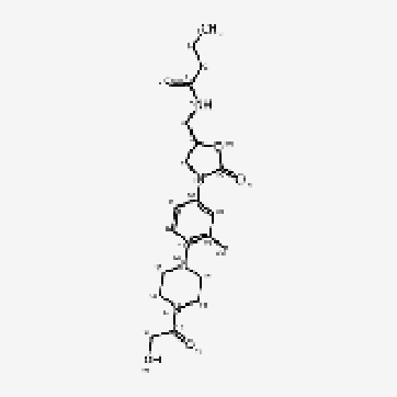 CCCC(=S)NCC1CN(c2ccc(N3CCN(C(=O)CO)CC3)c(F)c2)C(=O)O1